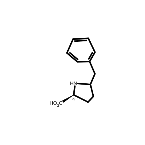 O=C(O)[C@@H]1CCC(Cc2ccccc2)N1